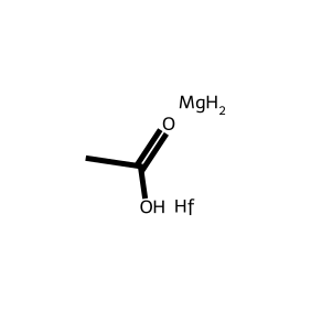 CC(=O)O.[Hf].[MgH2]